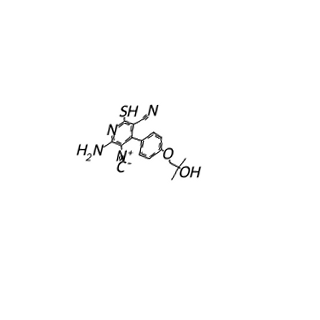 [C-]#[N+]c1c(N)nc(S)c(C#N)c1-c1ccc(OCC(C)(C)O)cc1